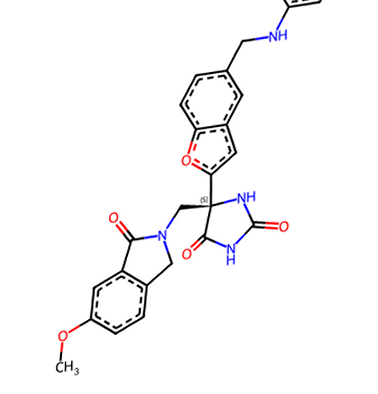 COc1ccc2c(c1)C(=O)N(C[C@@]1(c3cc4cc(CNc5ccccn5)ccc4o3)NC(=O)NC1=O)C2